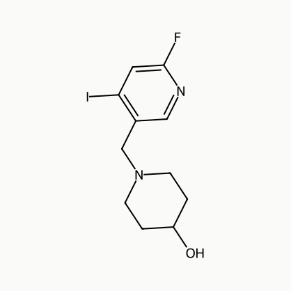 OC1CCN(Cc2cnc(F)cc2I)CC1